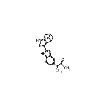 CC(=O)N(C)c1ccc2[nH]c(-c3n[nH]c4c3C3CC(C4)C3(F)F)nc2c1